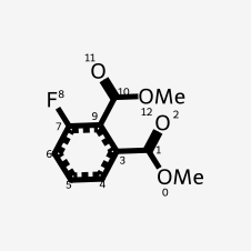 COC(=O)c1cccc(F)c1C(=O)OC